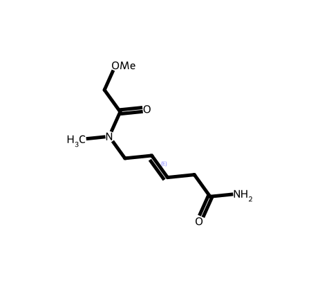 COCC(=O)N(C)C/C=C/CC(N)=O